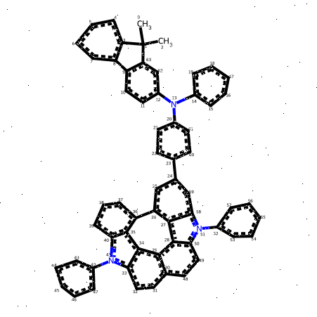 CC1(C)c2ccccc2-c2ccc(N(c3ccccc3)c3ccc(-c4cc5c6c7c8c(ccc9c8c8c-5cccc8n9-c5ccccc5)ccc7n(-c5ccccc5)c6c4)cc3)cc21